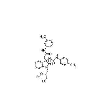 CCOC(CN1C(=O)[C@@](CC(=O)Nc2cccc(C)c2)(NC(=O)Nc2ccc(C)cc2)c2ccccc21)OCC